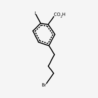 O=C(O)c1cc(CCCBr)ccc1I